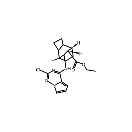 CCOC(=O)[C@@H]1C(Nc2nc(Cl)nn3cccc23)[C@@H]2CC[C@H]1C1CCC12